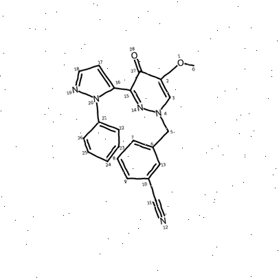 COc1cn(Cc2cccc(C#N)c2)nc(-c2ccnn2-c2ccccc2)c1=O